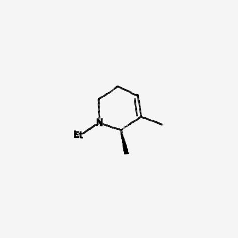 CCN1CCC=C(C)[C@H]1C